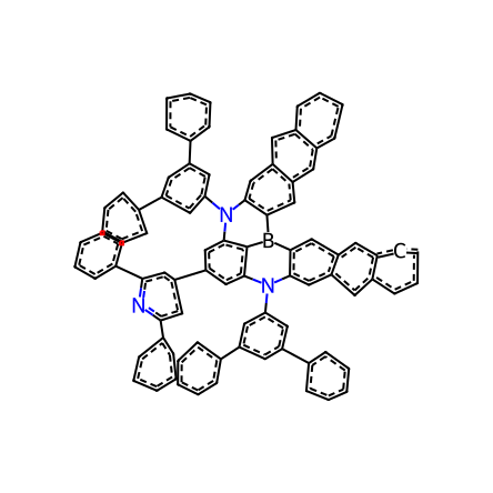 c1ccc(-c2cc(-c3ccccc3)cc(N3c4cc5cc6ccccc6cc5cc4B4c5cc6cc7ccccc7cc6cc5N(c5cc(-c6ccccc6)cc(-c6ccccc6)c5)c5cc(-c6cc(-c7ccccc7)nc(-c7ccccc7)c6)cc3c54)c2)cc1